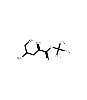 CC(CO)CC(=N)C(=O)OC(C)(C)C